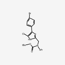 CCCN(Cc1nc(-c2ccc(Br)cc2)c(Cl)[nH]1)C(=O)OC(C)(C)C